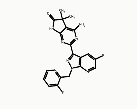 CC1(C)C(=O)Nc2nc(-c3nn(Cc4ncccc4F)c4ncc(F)cc34)nc(N)c21